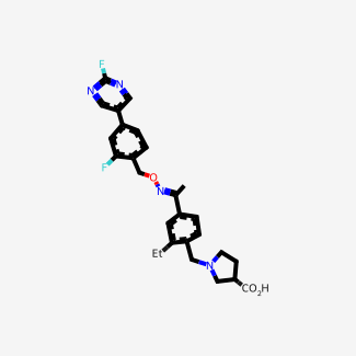 CCc1cc(C(C)=NOCc2ccc(-c3cnc(F)nc3)cc2F)ccc1CN1CCC(C(=O)O)C1